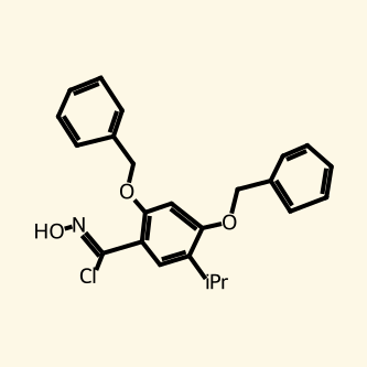 CC(C)c1cc(C(Cl)=NO)c(OCc2ccccc2)cc1OCc1ccccc1